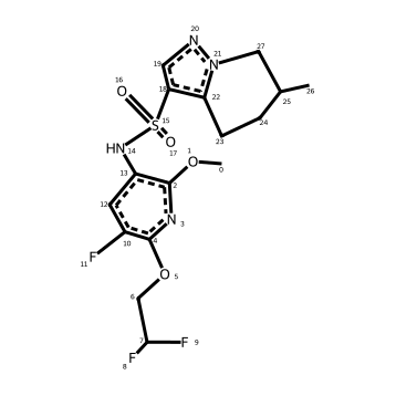 COc1nc(OCC(F)F)c(F)cc1NS(=O)(=O)c1cnn2c1CCC(C)C2